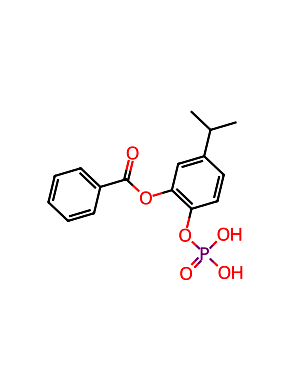 CC(C)c1ccc(OP(=O)(O)O)c(OC(=O)c2ccccc2)c1